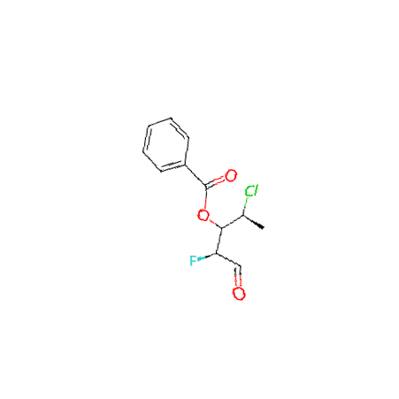 C[C@H](Cl)C(OC(=O)c1ccccc1)[C@H](F)C=O